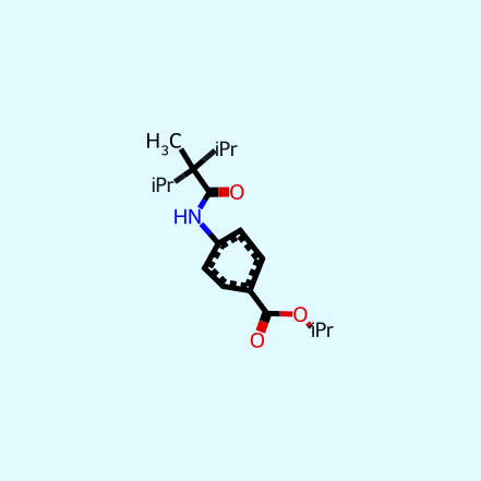 CC(C)OC(=O)c1ccc(NC(=O)C(C)(C(C)C)C(C)C)cc1